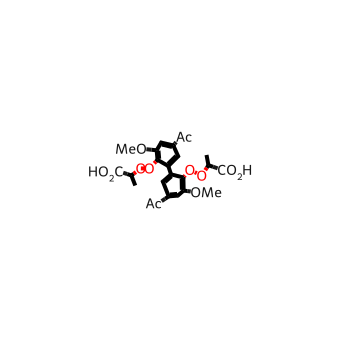 COc1cc(C(C)=O)cc(-c2cc(C(C)=O)cc(OC)c2OOC(C)C(=O)O)c1OOC(C)C(=O)O